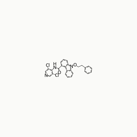 O=C(Nc1c(Cl)cncc1Cl)c1cccc2c1c1ccccc1n2OCCc1ccccc1